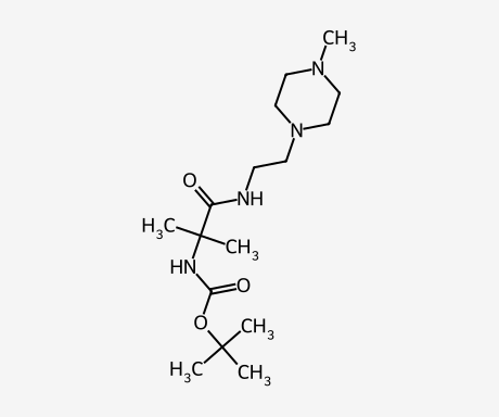 CN1CCN(CCNC(=O)C(C)(C)NC(=O)OC(C)(C)C)CC1